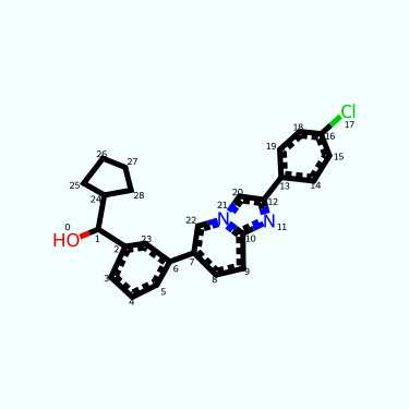 OC(c1cccc(-c2ccc3nc(-c4ccc(Cl)cc4)cn3c2)c1)C1CCCC1